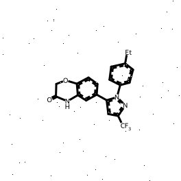 CCc1ccc(-n2nc(C(F)(F)F)cc2-c2ccc3c(c2)NC(=O)CO3)cc1